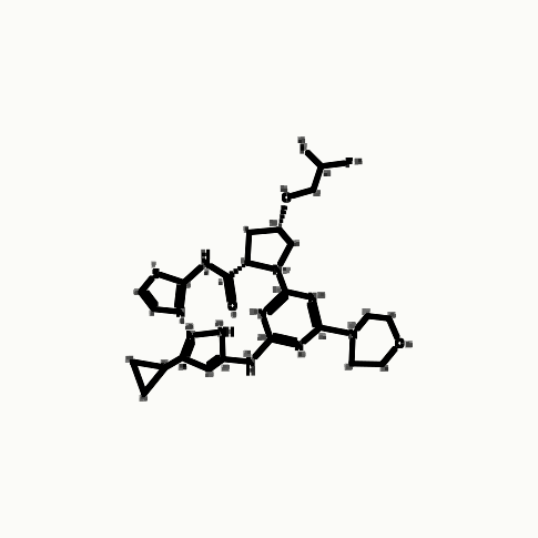 O=C(Nc1nccs1)[C@@H]1C[C@H](OCC(F)F)CN1c1nc(Nc2cc(C3CC3)n[nH]2)nc(N2CCOCC2)n1